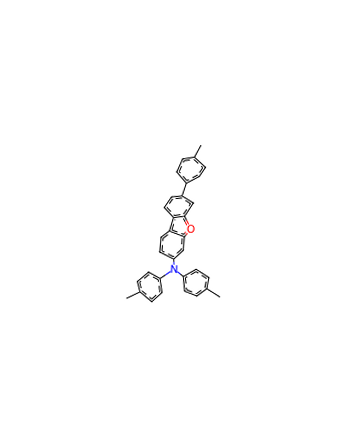 Cc1ccc(-c2ccc3c(c2)oc2cc(N(c4ccc(C)cc4)c4ccc(C)cc4)ccc23)cc1